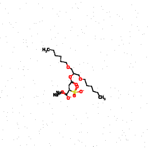 CCCCCCOCC(COCCCCCC)OC(=O)CC(C(=O)[O-])S(=O)(=O)[O-].[Na+].[Na+]